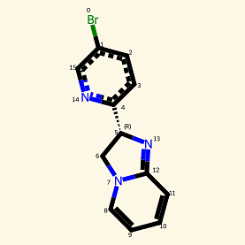 Brc1ccc([C@H]2CN3C=CC=CC3=N2)nc1